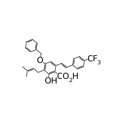 CC(C)=CCc1c(OCc2ccccc2)cc(C=Cc2ccc(C(F)(F)F)cc2)c(C(=O)O)c1O